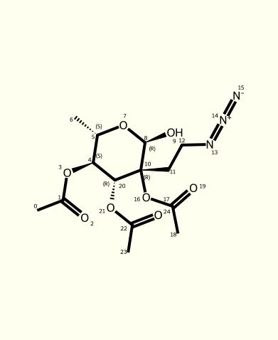 CC(=O)O[C@H]1[C@H](C)O[C@@H](O)[C@](CCN=[N+]=[N-])(OC(C)=O)[C@@H]1OC(C)=O